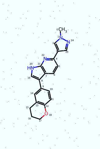 Cn1cc(-c2ccc3c(-c4ccc5c(c4)CCCO5)c[nH]c3n2)cn1